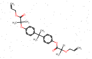 C=CCOC(=O)C(C)(C)Oc1ccc(C(C)(C)c2ccc(OC(=O)C(C)(CC)OCC=C)cc2)cc1